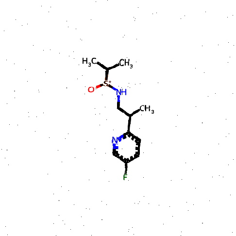 CC(CN[S+]([O-])C(C)C)c1ccc(F)cn1